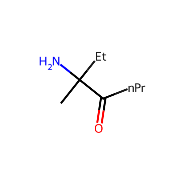 CCCC(=O)C(C)(N)CC